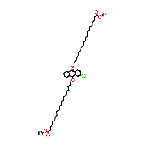 CC(C)OC(=O)CCCCCCCCCCCCCCCCCCCCOc1c2ccccc2c(OCCCCCCCCCCCCCCCCCCCCC(=O)OC(C)C)c2cc(Cl)ccc12